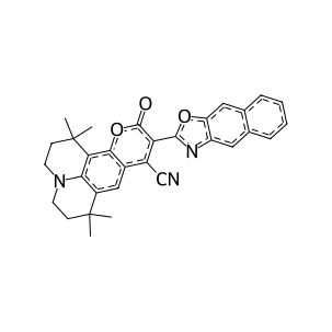 CC1(C)CCN2CCC(C)(C)c3c2c1cc1c(C#N)c(-c2nc4cc5ccccc5cc4o2)c(=O)oc31